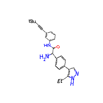 CCc1[nH]ncc1-c1ccc(C(N)C(=O)Nc2cccc(C#CC(C)(C)C)c2)cc1